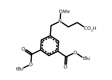 CON(CCC(=O)O)Cc1cc(C(=O)OC(C)(C)C)cc(C(=O)OC(C)(C)C)c1